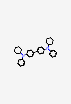 c1ccc(N(c2ccc(-c3ccc(N(c4ccccc4)C4CCCCC4)cc3)cc2)C2CCCCC2)cc1